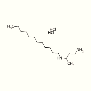 CCCCCCCCCCCCNC(C)CCN.Cl.Cl